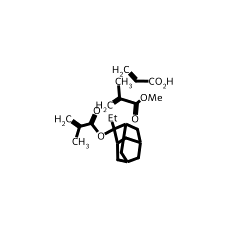 C=C(C)C(=O)OC.C=C(C)C(=O)OC1(CC)C2CC3CC(C2)CC1C3.C=CC(=O)O